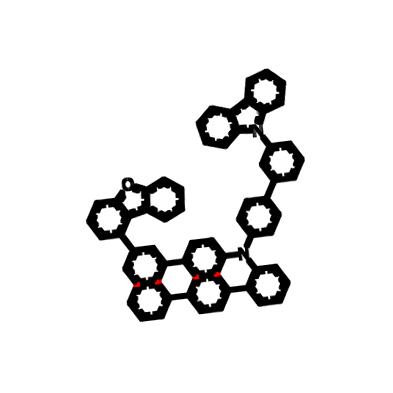 c1ccc(-c2ccc(-c3ccccc3N(c3ccc(-c4cccc(-c5cccc6oc7ccccc7c56)c4)cc3)c3ccc(-c4cccc(-n5c6ccccc6c6ccccc65)c4)cc3)cc2)cc1